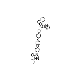 CCC(C)n1ncn(-c2ccc(N3CCN(c4ccc(OC[C@@H]5CO[C@@](Cn6cccn6)(c6ccccc6OC)O5)cc4)CC3)cc2)c1=O